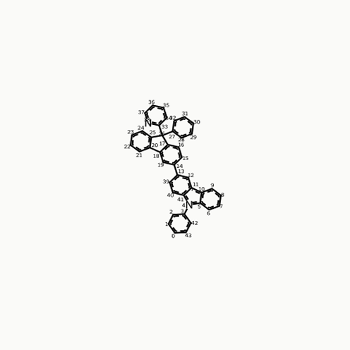 c1ccc(-n2c3ccccc3c3cc(-c4ccc5c(c4)-c4ccccc4C5(c4ccccc4)c4ccccn4)ccc32)cc1